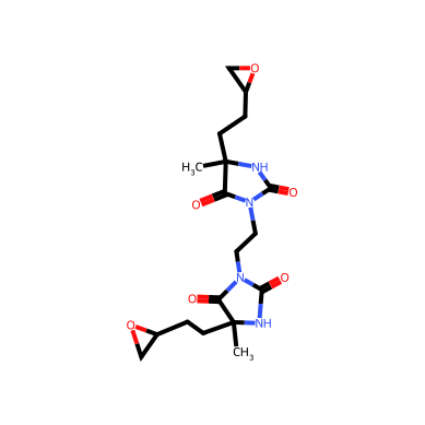 CC1(CCC2CO2)NC(=O)N(CCN2C(=O)NC(C)(CCC3CO3)C2=O)C1=O